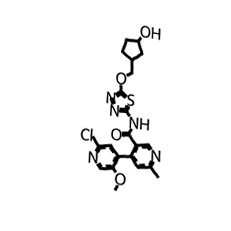 COc1cnc(Cl)cc1-c1cc(C)ncc1C(=O)Nc1nnc(OCC2CCC(O)C2)s1